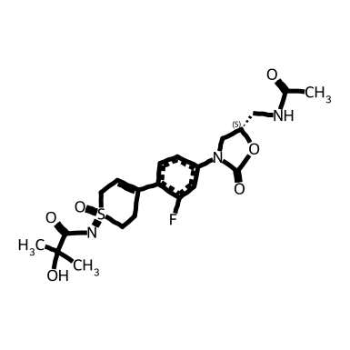 CC(=O)NC[C@H]1CN(c2ccc(C3=CCS(=O)(=NC(=O)C(C)(C)O)CC3)c(F)c2)C(=O)O1